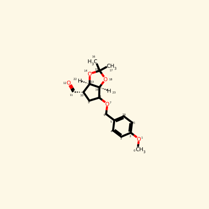 COc1ccc(COC2C[C@H](C=O)[C@H]3OC(C)(C)O[C@@H]23)cc1